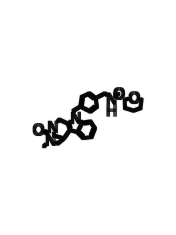 CN1CC2CN(Cc3c2c2ccccc2n3Cc2ccc(CNOC3CCCCO3)cc2)C1=O